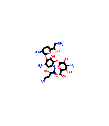 NCC[C@H](O)C(=O)N[C@@H]1C[C@H](N)C(O[C@H]2OC(C(O)CN)CCC2N)C(O)[C@H]1O[C@H]1OC(CO)[C@@H](O)[C@H](N)C1O